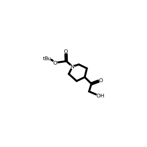 CC(C)(C)OC(=O)N1CCC(C(=O)CO)CC1